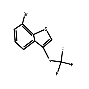 FC(F)(F)Sc1csc2c(Br)cccc12